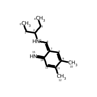 CCC(CC)N/C=C1/C=C(C)C(C)=CC1=N